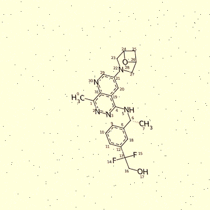 Cc1nnc(N[C@H](C)c2cccc(C(F)(F)CO)c2)c2cc(N3CC4CC(C3)O4)cnc12